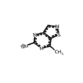 Cc1nc(C(C)(C)C)nc2cnsc12